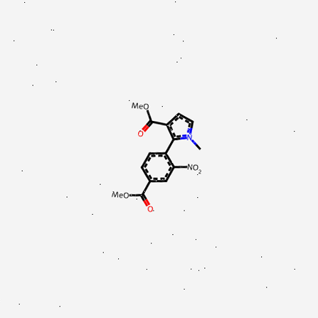 COC(=O)c1ccc(-c2c(C(=O)OC)ccn2C)c([N+](=O)[O-])c1